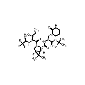 CC[C@H](C)[C@H](NC(=O)C(F)(F)F)C(=O)N1C[C@H]2[C@@H]([C@H]1C(=O)NN(C[C@H]1CCCNC1=O)C(=O)OC(C)(C)C)C2(C)C